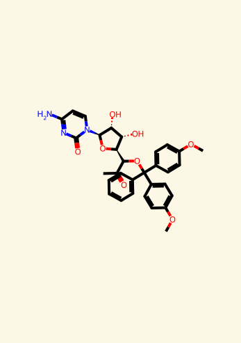 COc1ccc(C(OC(C(C)=O)[C@H]2O[C@@H](n3ccc(N)nc3=O)[C@H](O)[C@@H]2O)(c2ccccc2)c2ccc(OC)cc2)cc1